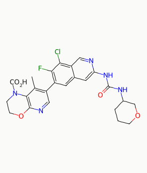 Cc1c(-c2cc3cc(NC(=O)NC4CCCOC4)ncc3c(Cl)c2F)cnc2c1N(C(=O)O)CCO2